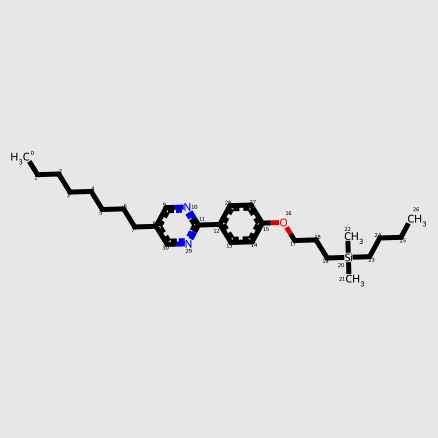 CCCCCCCCc1cnc(-c2ccc(OCCC[Si](C)(C)CCCC)cc2)nc1